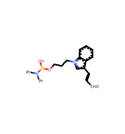 CC(C)N(C(C)C)P(O)OCCCn1cc(C=CC=O)c2ccccc21